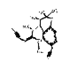 CN/C(=N/C#N)N(C)[C@H]1c2cc(C#N)ccc2OC(C)(C)[C@@H]1O